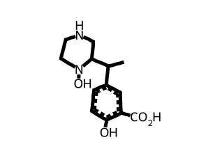 CC(c1ccc(O)c(C(=O)O)c1)C1CNCCN1O